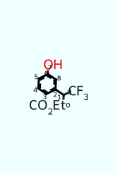 CCOC(=O)C(c1cccc(O)c1)C(F)(F)F